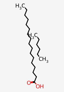 CCCCCC.CCCCCCCCCCCCCCCCC(=O)O